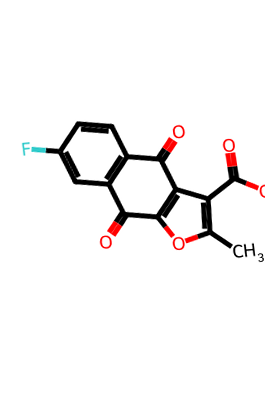 Cc1oc2c(c1C(=O)O)C(=O)c1ccc(F)cc1C2=O